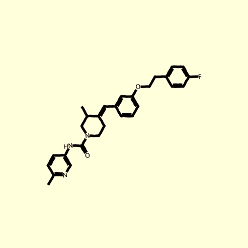 Cc1ccc(NC(=O)N2CCC(=Cc3cccc(OCCc4ccc(F)cc4)c3)C(C)C2)cn1